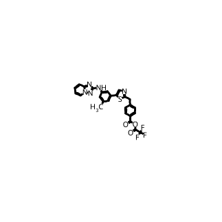 Cc1cc(Nc2nc3ccccn3n2)cc(-c2cnc(Cc3ccc(C(=O)OC(=O)C(F)(F)F)cc3)s2)c1